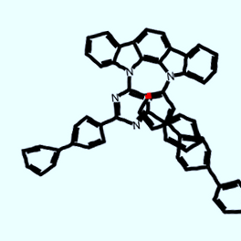 c1ccc(-c2ccc(-c3cccc(-n4c5ccccc5c5ccc6c7ccccc7n(-c7nc(-c8ccccc8)nc(-c8ccc(-c9ccccc9)cc8)n7)c6c54)c3)cc2)cc1